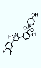 O=S(=O)(c1cc(-c2cc(-c3ccc(F)c(F)c3)[nH]n2)ccc1Cl)N1CCC(O)CC1